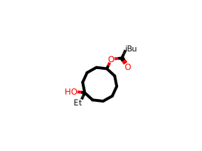 CCC(C)C(=O)OC1CCCCCC(O)(CC)CCC1